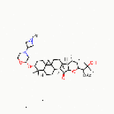 CC(=O)O[C@@H](C1C[C@@H](C)[C@H]2C(O1)C(=O)[C@@]1(C)C3CC[C@H]4C(C)(C)[C@@H](O[C@H]5CN(C6CN(C(C)C)C6)CCO5)CCC45C[C@@]35CC[C@]21C)C(C)(C)O